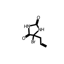 C=CCC1(Br)NC(=O)NC1=O